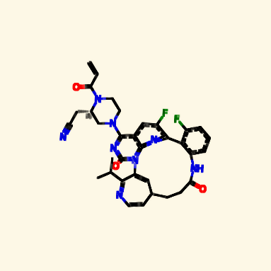 C=CC(=O)N1CCN(c2nc(=O)n3c4nc(c(F)cc24)-c2c(F)cccc2NC(=O)CCC2C=CN=C(C(C)C)C3=C2)C[C@@H]1CC#N